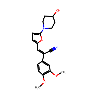 COc1ccc(/C(C#N)=C/c2ccc(N3CCC(O)CC3)o2)cc1OC